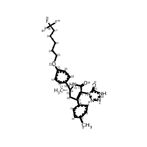 Cc1ccc(C2=C(n3nn[nH]c3=O)C(=O)N[C@](C)(c3ccc(OCCCCCC(F)(F)F)cc3)C2)cc1